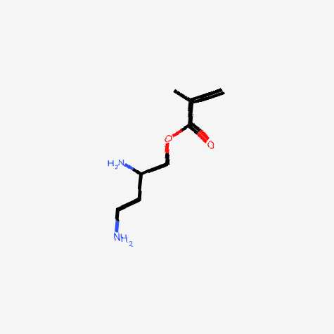 C=C(C)C(=O)OCC(N)CCN